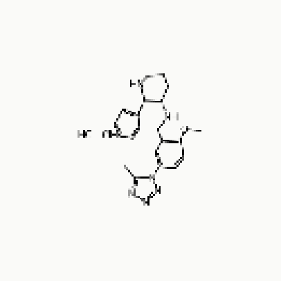 COc1ccc(-n2nnnc2C)cc1CN[C@H]1CCCN[C@@H]1c1ccccc1.Cl.Cl